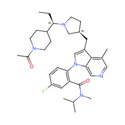 CC[C@H](C1CCN(C(C)=O)CC1)N1CC[C@@H](Cc2cn(-c3ccc(F)cc3C(=O)N(C)C(C)C)c3cncc(C)c23)C1